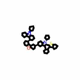 c1ccc(-n2c3ccccc3c3c(-c4cccc5oc6ccc(-c7ccc8c(c7)c7c9ccccc9c9c%10ccccc%10sc9c7n8-c7ccccc7)cc6c45)cccc32)cc1